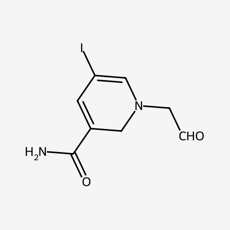 NC(=O)C1=CC(I)=CN(CC=O)C1